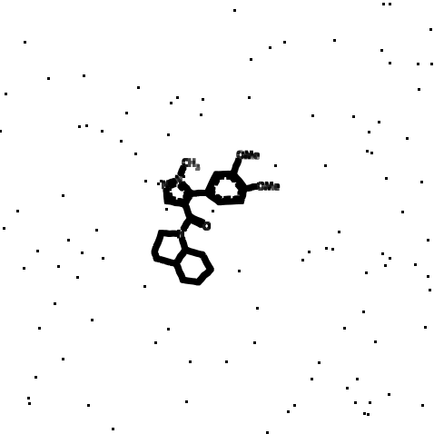 COc1ccc(-c2c(C(=O)N3CCCC4CCCCC43)cnn2C)cc1OC